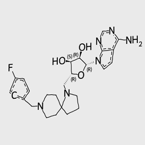 Nc1ncnc2c1ccn2[C@@H]1O[C@H](CN2CCCC23CCN(Cc2ccc(F)cc2)CC3)[C@@H](O)[C@H]1O